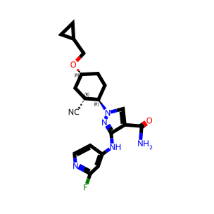 N#C[C@@H]1C[C@H](OCC2CC2)CC[C@H]1n1cc(C(N)=O)c(Nc2ccnc(F)c2)n1